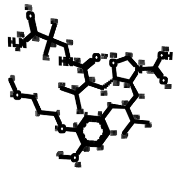 COCCCOc1cc(C[C@@H](C[C@H]2[C@H](CC(C(=O)NCC(C)(C)C(N)=O)C(C)C)OCN2C(=O)O)C(C)C)ccc1OC